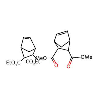 CCOC(=O)C1C2C=CC(C2)C1C(=O)OCC.COC(=O)C1C2C=CC(C2)C1C(=O)OC